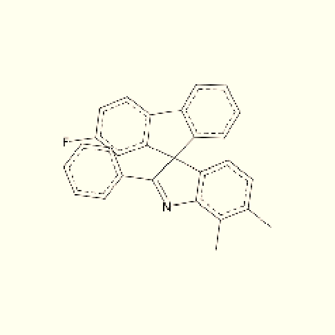 Cc1ccc2c(c1C)N=C(c1ccccc1)C21c2ccccc2-c2ccc(F)cc21